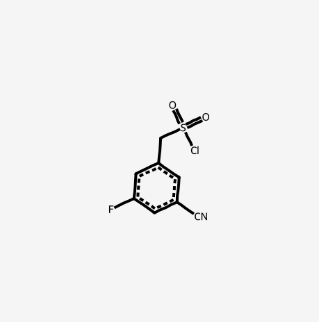 N#Cc1cc(F)cc(CS(=O)(=O)Cl)c1